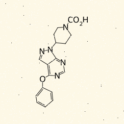 O=C(O)N1CCC(n2ncc3c(Oc4ccccc4)ncnc32)CC1